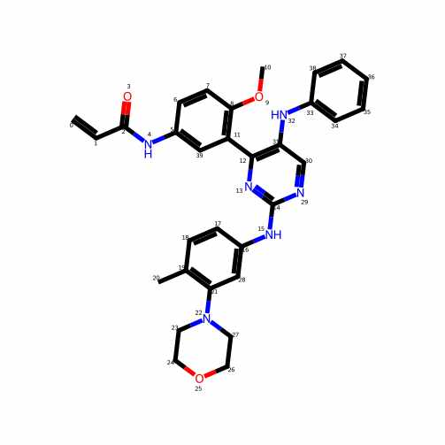 C=CC(=O)Nc1ccc(OC)c(-c2nc(Nc3ccc(C)c(N4CCOCC4)c3)ncc2Nc2ccccc2)c1